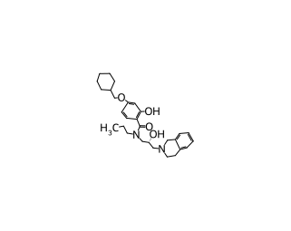 CCCN(C[C@H](O)CN1CCc2ccccc2C1)C(=O)c1ccc(OCC2CCCCC2)cc1O